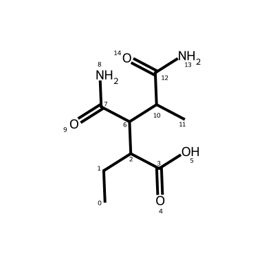 CCC(C(=O)O)C(C(N)=O)C(C)C(N)=O